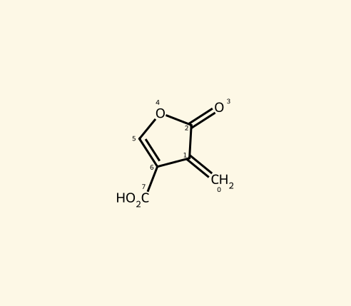 C=C1C(=O)OC=C1C(=O)O